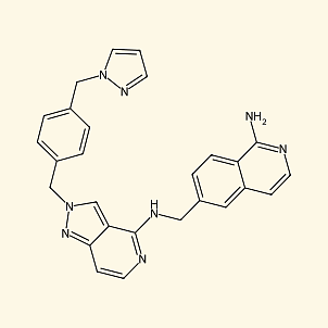 Nc1nccc2cc(CNc3nccc4nn(Cc5ccc(Cn6cccn6)cc5)cc34)ccc12